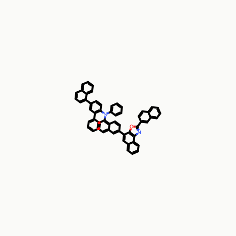 c1ccc(-c2cc(-c3cccc4ccccc34)ccc2N(c2ccccc2)c2cccc3cc(-c4cc5ccccc5c5nc(-c6ccc7ccccc7c6)oc45)ccc23)cc1